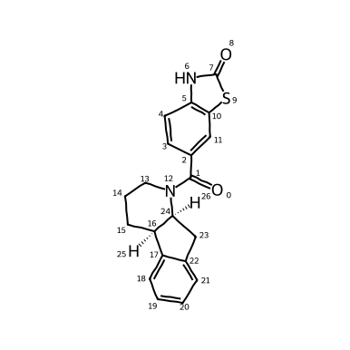 O=C(c1ccc2[nH]c(=O)sc2c1)N1CCC[C@@H]2c3ccccc3C[C@@H]21